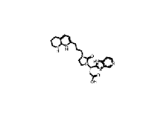 O=C(O)C[C@@H](c1nc2cnccc2[nH]1)N1CCN(CCCC2=CC=C3CCCNC3N2)C1=O